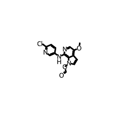 COc1cnc(Nc2ccc(Cl)nc2)c2c1ccn2OC=O